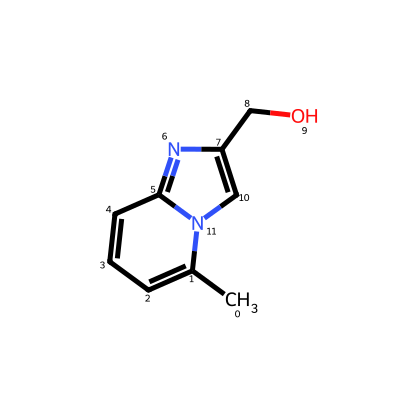 Cc1cccc2nc(CO)cn12